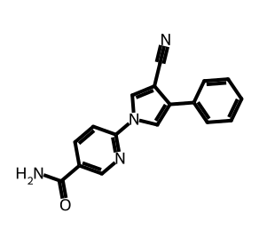 N#Cc1cn(-c2ccc(C(N)=O)cn2)cc1-c1ccccc1